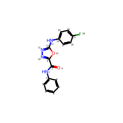 O=C(Nc1ccccc1)c1nnc(Nc2ccc(F)cc2)o1